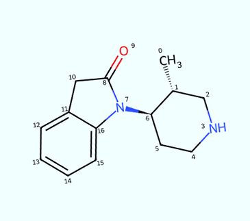 C[C@@H]1CNCC[C@H]1N1C(=O)Cc2ccccc21